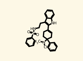 CN(C)C1(c2ccccc2)CC=C(c2[nH]c3ccccc3c2CCNS(=O)(=O)c2ccccc2)CC1